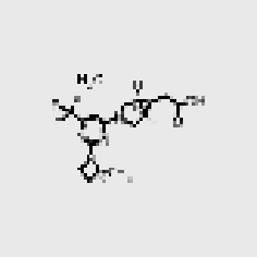 C[C@H]1CCN1c1nc(N2C[C@@H]3C(CC(=O)O)[C@@H]3C2)cc(C(F)(F)F)n1.O